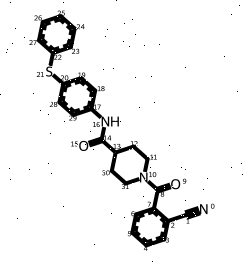 N#Cc1ccccc1C(=O)N1CCC(C(=O)Nc2ccc(Sc3ccccc3)cc2)CC1